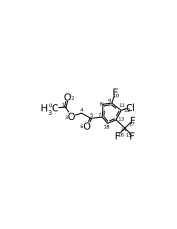 CC(=O)OCC(=O)c1cc(F)c(Cl)c(C(F)(F)F)c1